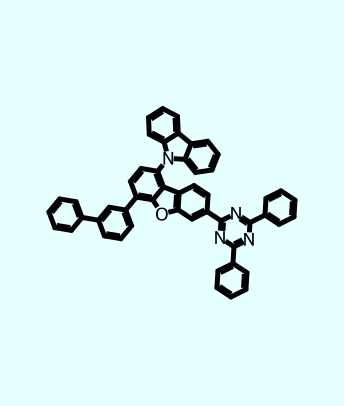 c1ccc(-c2cccc(-c3ccc(-n4c5ccccc5c5ccccc54)c4c3oc3cc(-c5nc(-c6ccccc6)nc(-c6ccccc6)n5)ccc34)c2)cc1